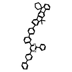 CC1(C)c2cc(-c3ccc(-c4cccc(-c5cc(C6=CCC(c7ccccc7)C=C6)nc(-c6ccccc6)n5)c4)cc3)ccc2-c2cc3c(cc21)-c1ccccc1C31CCCCC1